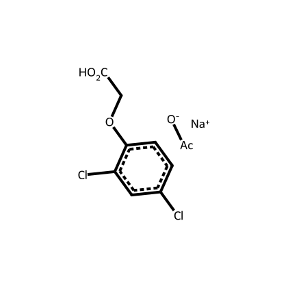 CC(=O)[O-].O=C(O)COc1ccc(Cl)cc1Cl.[Na+]